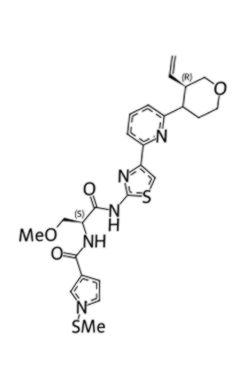 C=C[C@H]1COCCC1c1cccc(-c2csc(NC(=O)[C@H](COC)NC(=O)c3ccn(SC)c3)n2)n1